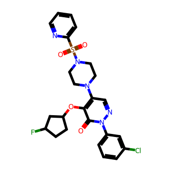 O=c1c(OC2CCC(F)C2)c(N2CCN(S(=O)(=O)c3ccccn3)CC2)cnn1-c1cccc(Cl)c1